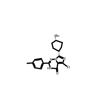 CCc1nc([C@H]2CC[C@@H](C(C)(C)C)CC2)n2nc(-c3ccc(C)cc3)[nH]c(=O)c12